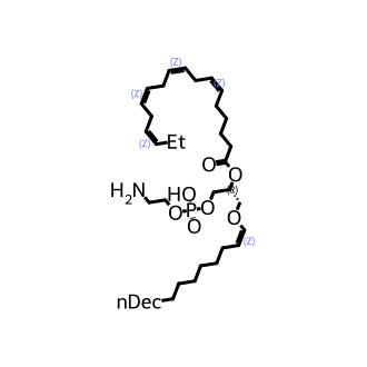 CC/C=C\C/C=C\C/C=C\C/C=C\CCCCC(=O)O[C@H](CO/C=C\CCCCCCCCCCCCCCCC)COP(=O)(O)OCCN